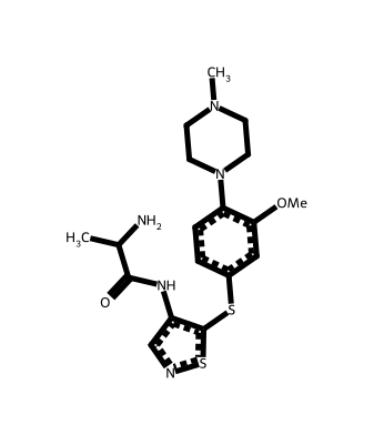 COc1cc(Sc2sncc2NC(=O)C(C)N)ccc1N1CCN(C)CC1